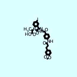 CC(C(=O)O)N1C(=O)C(=NNC(=O)c2ccc(NC(=O)CCc3ccc4c(c3)OCO4)cc2)c2cc(I)ccc21